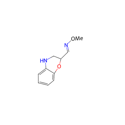 CO/N=C/C1CNc2ccccc2O1